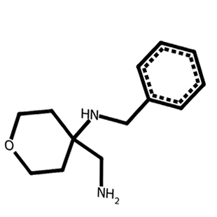 NCC1(NCc2ccccc2)CCOCC1